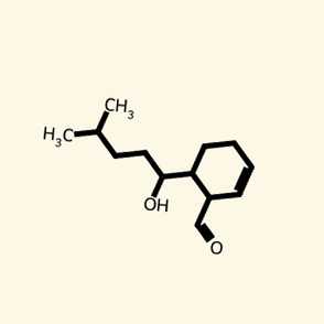 CC(C)CCC(O)C1CCC=CC1C=O